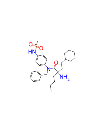 CCCCC(N)(CCC1CCCCC1)C(=O)N(Cc1ccccc1)c1ccc(NS(C)(=O)=O)cc1